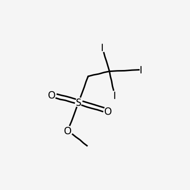 COS(=O)(=O)CC(I)(I)I